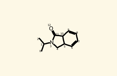 CC(C)N1CC2C=CC=CC2C1=O